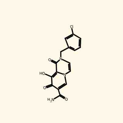 NC(=O)c1cn2ccn(Cc3cccc(Cl)c3)c(=O)c2c(O)c1=O